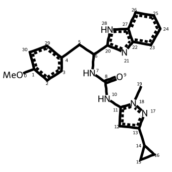 COc1ccc(CC(NC(=O)Nc2cc(C3CC3)nn2C)c2nc3ccccc3[nH]2)cc1